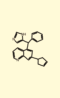 C1=CCC(c2cc(C(c3ccccc3)c3cnc[nH]3)c3cccnc3c2)C1